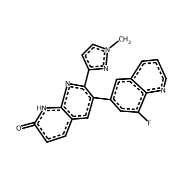 Cn1ccc(-c2nc3[nH]c(=O)ccc3cc2-c2cc(F)c3ncccc3c2)n1